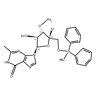 CC[C@@]1(CO[Si](c2ccccc2)(c2ccccc2)C(C)(C)C)O[C@@H](n2cnc3c(=O)[nH]c(C)nc32)[C@@H](OC(C)=O)[C@@H]1OP